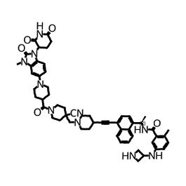 Cc1ccc(NC2CNC2)cc1C(=O)N[C@H](C)c1ccc(C#CC2CCN(CC3(C#N)CCN(C(=O)C4CCN(c5ccc6c(c5)n(C)c(=O)n6C5CCC(=O)NC5=O)CC4)CC3)CC2)c2ccccc12